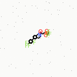 O=C(CCS(=O)(=O)C(F)(F)F)N1CCc2cc(-c3ccc(C(F)(F)F)cc3F)ccc2C1